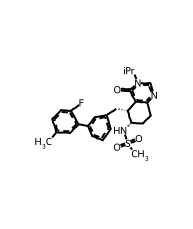 Cc1ccc(F)c(-c2cccc(C[C@@H]3c4c(ncn(C(C)C)c4=O)CC[C@@H]3NS(C)(=O)=O)c2)c1